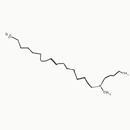 CCCCCCCCCCCCCCCN(C)CCCC